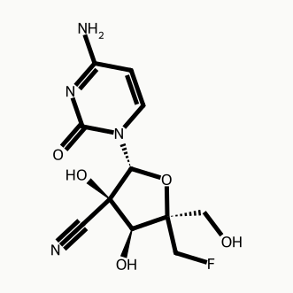 N#C[C@@]1(O)[C@H](O)[C@](CO)(CF)O[C@H]1n1ccc(N)nc1=O